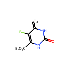 C=C1NC(=O)NC(C(=O)OCC)=C1F